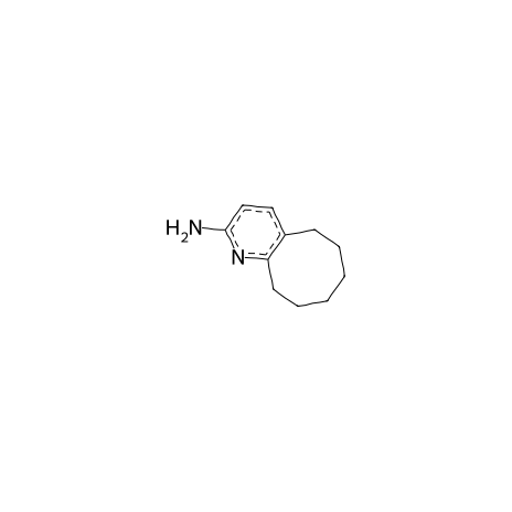 Nc1ccc2c(n1)CCCCCC2